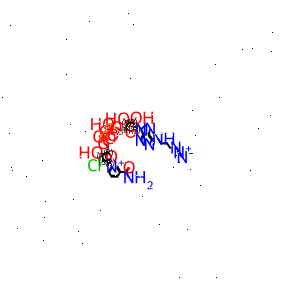 [N-]=[N+]=NCCCNc1ncnc2c1ncn2[C@@H]1O[C@H](COP(=O)(O)OP(=O)([O-])OC[C@H]2O[C@@H]([n+]3cccc(C(N)=O)c3)[C@@H](Cl)[C@@H]2O)[C@@H](O)[C@H]1O